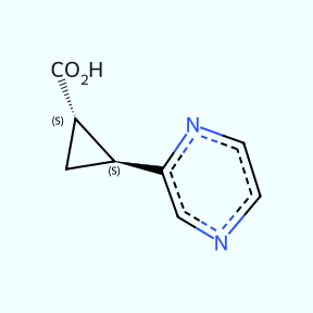 O=C(O)[C@H]1C[C@@H]1c1cnccn1